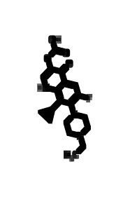 CCN1CCN(c2c(F)cc3c(=O)c(OC(=O)O)c[nH]c3c2C2CC2)CC1